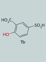 O=C(O)c1cc(S(=O)(=O)O)ccc1O.[Tb]